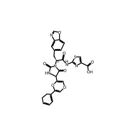 O=C(O)c1csc(NC(=O)[C@H](Cc2ccc3ocnc3c2)N2C(=O)NC(C3=COC=C(C4=CC=CCC4)O3)C2=O)n1